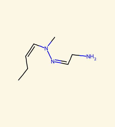 CC/C=C\N(C)/N=C\CN